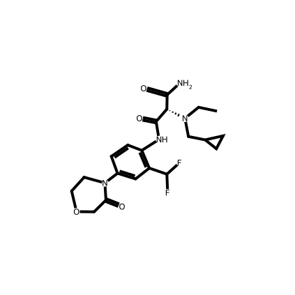 CCN(CC1CC1)[C@@H](C(N)=O)C(=O)Nc1ccc(N2CCOCC2=O)cc1C(F)F